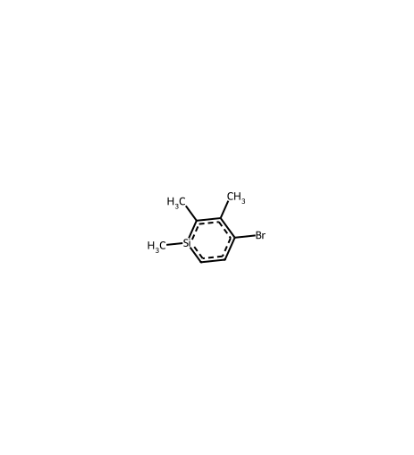 Cc1c(Br)cc[si](C)c1C